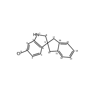 Clc1ccc2c(c1)NCC21Cc2ccccc2C1